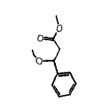 COC(=O)CC(OC)c1ccccc1